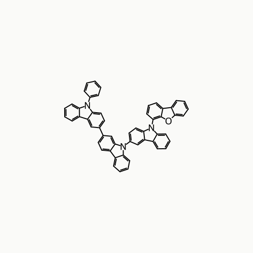 c1ccc(-n2c3ccccc3c3cc(-c4ccc5c6ccccc6n(-c6ccc7c(c6)c6ccccc6n7-c6cccc7c6oc6ccccc67)c5c4)ccc32)cc1